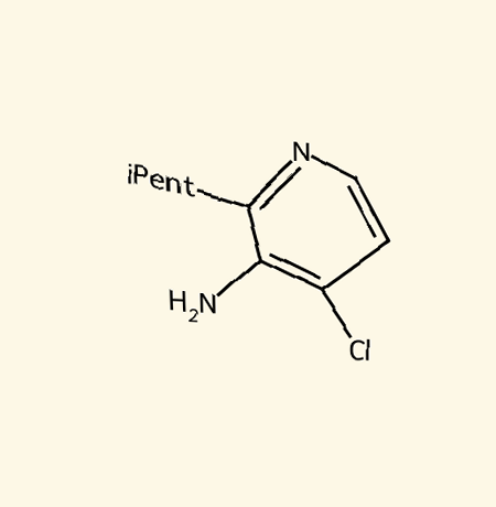 CCCC(C)c1nccc(Cl)c1N